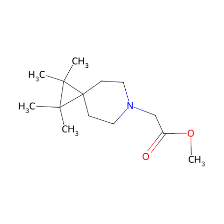 COC(=O)CN1CCC2(CC1)C(C)(C)C2(C)C